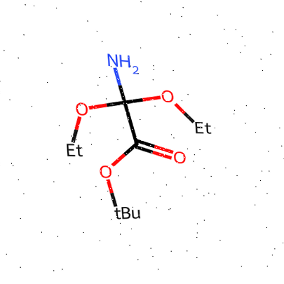 CCOC(N)(OCC)C(=O)OC(C)(C)C